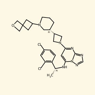 C[C@@H](Nc1cc(N2CC([C@H]3CCCN(C4CC5(COC5)C4)C3)C2)nc2ncnn12)c1ccc(Cl)cc1Cl